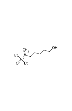 C=C(CCCCCO)[N+]([O-])(CC)CC